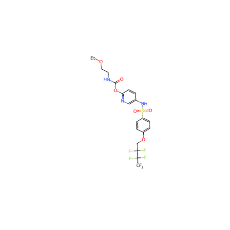 CCOCCNC(=O)Oc1ccc(NS(=O)(=O)c2ccc(OCC(F)(F)C(F)(F)C(F)(F)F)cc2)cn1